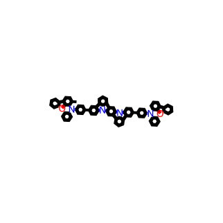 Cc1ccc2c(oc3ccccc32)c1N(c1ccccc1)c1ccc(-c2ccc3c(c2)c2cccc4c5cc6c(cc5n3c24)c2cccc3c4cc(-c5ccc(N(c7ccccc7)c7cccc8c7oc7ccccc78)cc5)ccc4n6c32)cc1